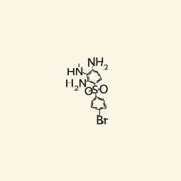 CNc1c(N)ccc(S(=O)(=O)c2ccc(Br)cc2)c1N